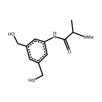 CNC(C)C(=O)Nc1cc(CO)cc(CO)c1